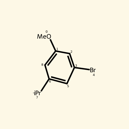 COc1cc(Br)cc([C](C)C)c1